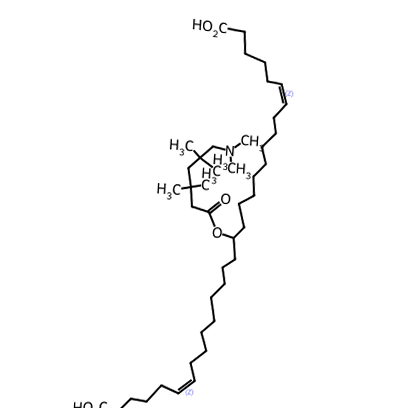 CN(C)CC(C)(C)CC(C)(C)CC(=O)OC(CCCCCCCC/C=C\CCCCC(=O)O)CCCCCCCC/C=C\CCCCC(=O)O